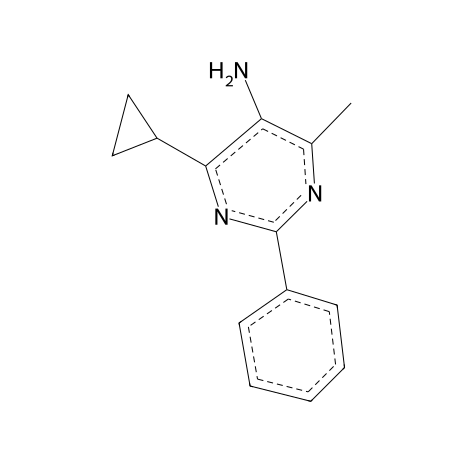 Cc1nc(-c2ccccc2)nc(C2CC2)c1N